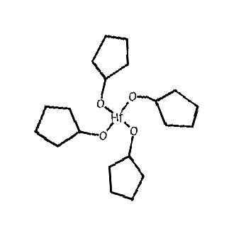 C1CCC([O][Hf]([O]C2CCCC2)([O]C2CCCC2)[O]C2CCCC2)C1